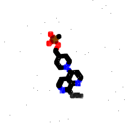 COc1nccc2c(N3CCC(COS(C)(=O)=O)CC3)ccnc12